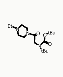 CCN1CCN(C(=O)CN(C(=O)OC(C)(C)C)C(C)(C)C)CC1